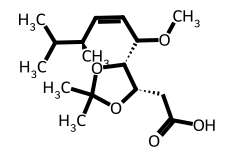 COC(/C=C\[C@@H](C)C(C)C)[C@H]1OC(C)(C)O[C@H]1CC(=O)O